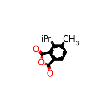 Cc1ccc2c(c1C(C)C)C(=O)OC2=O